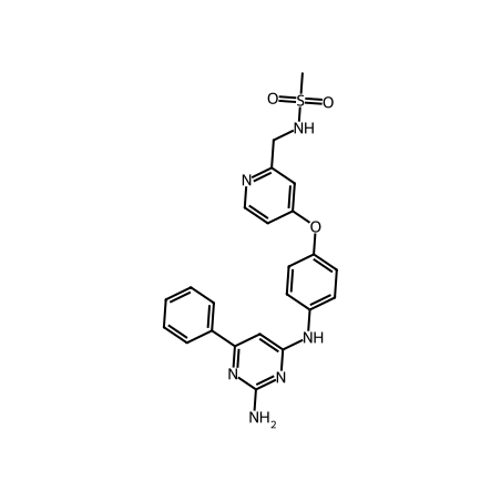 CS(=O)(=O)NCc1cc(Oc2ccc(Nc3cc(-c4ccccc4)nc(N)n3)cc2)ccn1